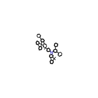 CC1(c2ccc(N(c3cc(C4=CC=CCC4)cc(-c4ccccc4)c3)c3ccc4c(c3)C(C)(C)c3ccccc3-4)cc2)C=C2C(=CC1)c1ccc(C3=CC=CCC3)cc1C21c2ccccc2-c2ccccc21